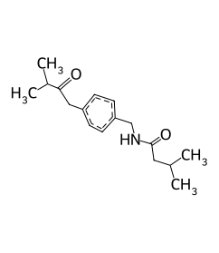 CC(C)CC(=O)NCc1ccc(CC(=O)C(C)C)cc1